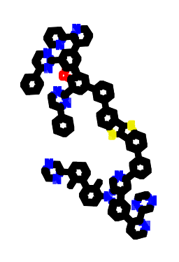 Cc1c(-c2cnccn2)cccc1-c1cccc(-n2c3ccc(-c4cccnc4-c4cnccn4)cc3c3cc(-c4cccc(-c5ccc6c(c5)C5Sc7ccc(-c8cccc(-c9cc(-c%10nccc(-c%11ccccc%11)n%10)c%10oc%11c(-c%12nccc(-c%13ccccc%13)n%12)cc(-c%12cccnc%12-c%12ccccn%12)cc%11c%10c9)c8)cc7C5S6)c4)ncc32)c1C